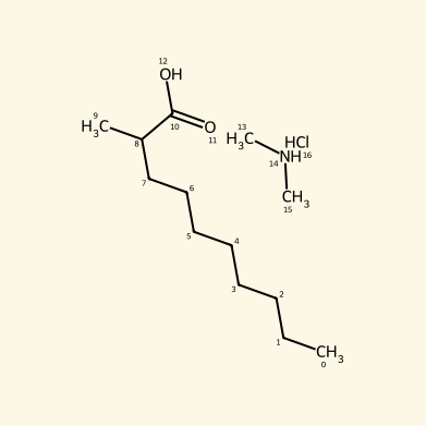 CCCCCCCCC(C)C(=O)O.CNC.Cl